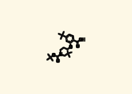 CC(C)(C)OC(=O)N1CCC(Oc2cc(C(C)(C)C)ccc2C(=O)O)C(C)(C)C1